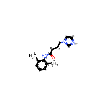 Cc1cccc(C)c1NC(=O)CCCn1ccnc1